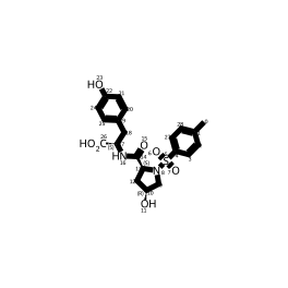 Cc1ccc(S(=O)(=O)N2C[C@H](O)C[C@H]2C(=O)N[C@@H](Cc2ccc(O)cc2)C(=O)O)cc1